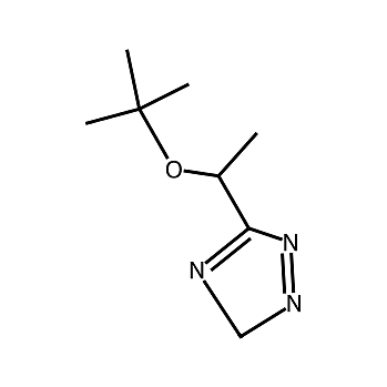 CC(OC(C)(C)C)C1=NCN=N1